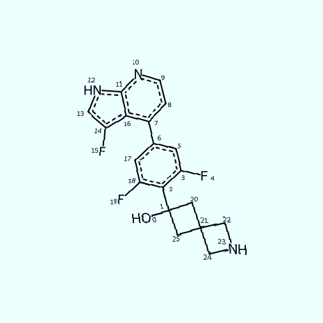 OC1(c2c(F)cc(-c3ccnc4[nH]cc(F)c34)cc2F)CC2(CNC2)C1